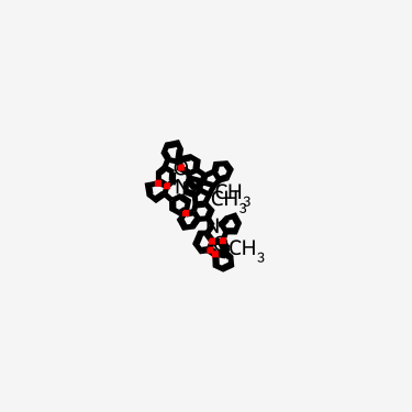 Cc1ccccc1-c1ccccc1N(c1cc2c(c3ccccc13)-c1ccccc1C2(C)C1(C)c2ccccc2-c2c1cc(N(c1ccccc1C1=CC=CCC1)c1cccc3c1oc1ccccc13)c1ccccc21)c1cccc2c1oc1ccccc12